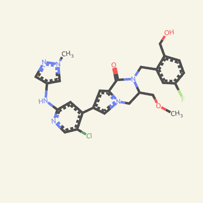 COCC1Cn2cc(-c3cc(Nc4cnn(C)c4)ncc3Cl)cc2C(=O)N1Cc1cc(F)ccc1CO